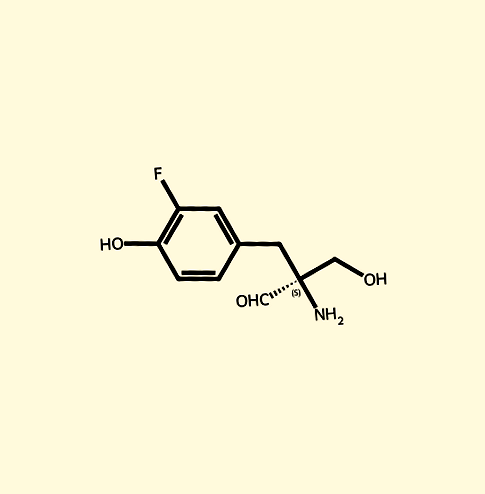 N[C@](C=O)(CO)Cc1ccc(O)c(F)c1